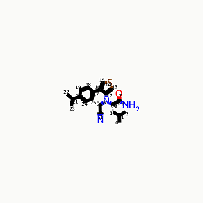 CC(C)C[C@@H](C(N)=O)N(CC#N)c1cscc1-c1ccc(C(C)C)cc1